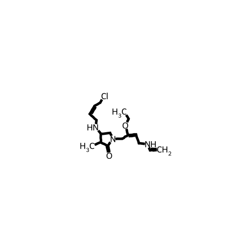 C=CNC/C=C(\CN1CC(NC/C=C\CCl)C(C)C1=O)OCC